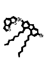 CCCCCCCCc1cc(Br)cc2c1-c1c(CCCCCCCC)cc(Br)cc1C2.c1cc2ccc3ccsc3c2s1